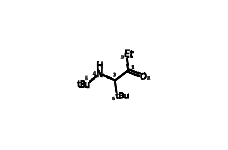 CCC(=O)C(NC(C)(C)C)C(C)(C)C